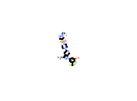 Cc1nn(-c2cc(C(F)(F)F)c(F)c(O)c2F)c2cnc(N3CCN(S(=O)(=O)c4cnn(C)c4)CC3)cc12